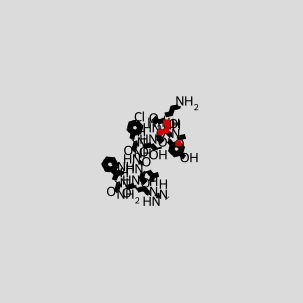 CNC(=N)NCCC[C@H](NC(=O)[C@H](CC(C)C)NC(=O)NNC(=O)[C@H](Cc1ccc(Cl)cc1)NC(=O)C(NC(=O)[C@H](CC(N)=O)NC(=O)[C@H](CCCCN)NC(=O)[C@@H](Cc1ccc(O)cc1)NC(C)=O)[C@@H](C)O)C(=O)N[C@@H](Cc1c[nH]c2ccccc12)C(N)=O